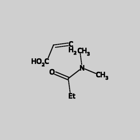 C=CC(=O)O.CCC(=O)N(C)C